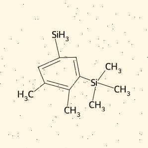 Cc1cc([SiH3])cc([Si](C)(C)C)c1C